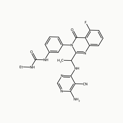 CCNC(=O)Nc1cccc(-n2c(C(C)Nc3ncnc(N)c3C#N)nc3cccc(F)c3c2=O)c1